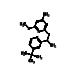 CSc1cc(N)nc(SC(C)c2cc(C(C)(C)C)ccn2)n1